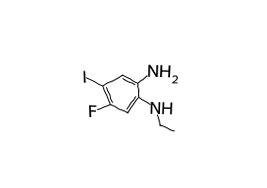 CCNc1cc(F)c(I)cc1N